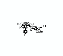 COc1cc(C(=O)NCC(O)(c2cc3c(c(-c4ccc(F)cc4)n2)NC[C@@]3(C)N)C(F)(F)F)ncc1OCCO